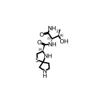 C[C@@H](O)[C@H](NC(=O)[C@@H]1CSC2(CCNC2)N1)C(N)=O